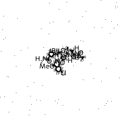 C=C[C@@H]1C[C@]1(NC(=O)[C@@H]1C[C@@H](Oc2ncc(OC)c3ccc(Cl)cc23)CN1C(=O)[C@@H](Nc1cccc(C(N)=O)c1)C(C)(C)C)C(=O)NS(=O)(=O)C1CC1